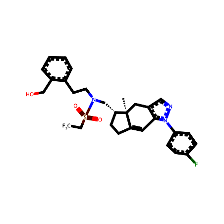 C[C@]12Cc3cnn(-c4ccc(F)cc4)c3C=C1CC[C@@H]2CN(CCc1ccccc1CO)S(=O)(=O)CC(F)(F)F